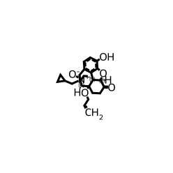 C=CCOC12CCC(=O)[C@@H]3Oc4c(O)ccc5c4[C@@]31CC[N+]([O-])(CC1CC1)[C@@H]2C5